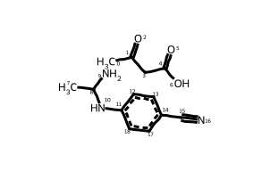 CC(=O)CC(=O)O.CC(N)Nc1ccc(C#N)cc1